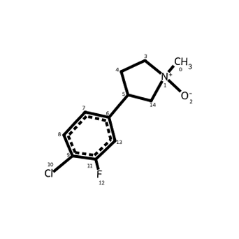 C[N+]1([O-])CCC(c2ccc(Cl)c(F)c2)C1